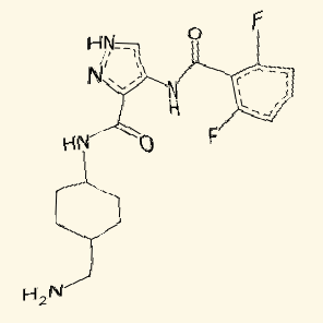 NCC1CCC(NC(=O)c2n[nH]cc2NC(=O)c2c(F)cccc2F)CC1